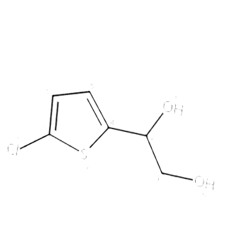 OCC(O)c1ccc(Cl)s1